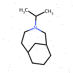 CC(C)N1CCC2CCCC(C2)C1